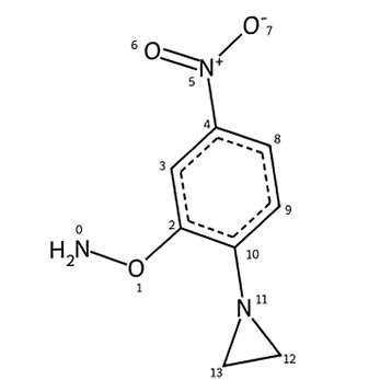 NOc1cc([N+](=O)[O-])ccc1N1CC1